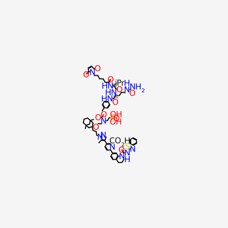 Cc1c(-c2ccc(-c3ccc4c(c3)N(C(=O)Nc3nc5ccccc5s3)CCC4)nc2C(=O)O)cnn1CCCC1(OCCN(CCP(=O)(O)O)C(=O)OCc2ccc(NC(=O)[C@H](CCCNC(N)=O)NC(=O)[C@@H](NC(=O)CCCCCN3C(=O)C=CC3=O)C(C)C)cc2)CC2(C)CCCC(C)(C2)C1